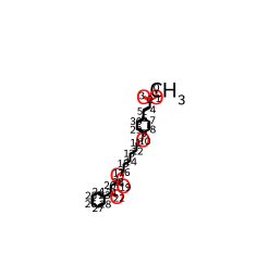 COC(=O)/C=C/c1ccc(OCCCCCCOC(=O)CC(=O)c2ccccc2)cc1